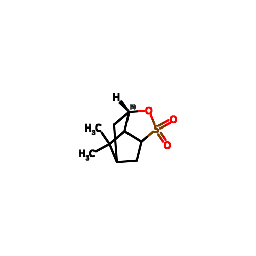 CC1(C)C2CC3C1[C@H](C2)OS3(=O)=O